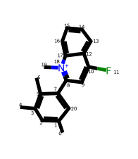 Cc1cc(C)c(C)c(-c2cc(F)c3ccccc3[n+]2C)c1